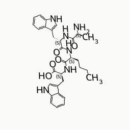 CCCC[C@H](NC(=O)[C@H](Cc1c[nH]c2ccccc12)NC(=O)[C@H](C)N)C(=O)N[C@@H](Cc1c[nH]c2ccccc12)C(=O)O